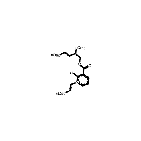 CCCCCCCCCCCCC(CCCCCCCCCC)COC(=O)c1ccc[n+](CCCCCCCCCCCC)c1Cl